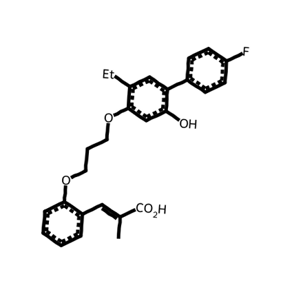 CCc1cc(-c2ccc(F)cc2)c(O)cc1OCCCOc1ccccc1C=C(C)C(=O)O